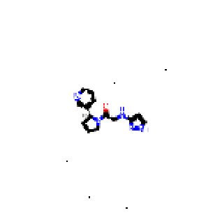 O=C(CNc1cc[nH]n1)N1CCC[C@@H]1c1cccnc1